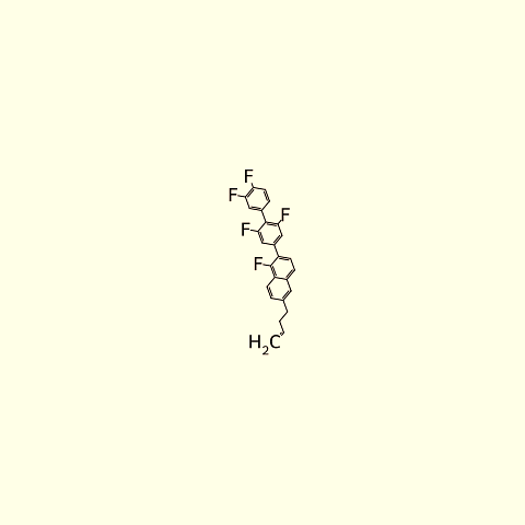 C=CCCc1ccc2c(F)c(-c3cc(F)c(-c4ccc(F)c(F)c4)c(F)c3)ccc2c1